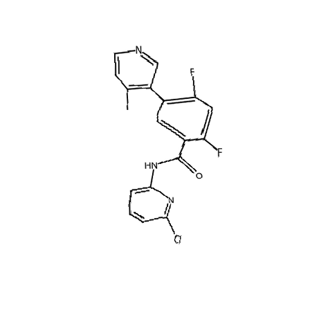 Cc1ccncc1-c1cc(C(=O)Nc2cccc(Cl)n2)c(F)cc1F